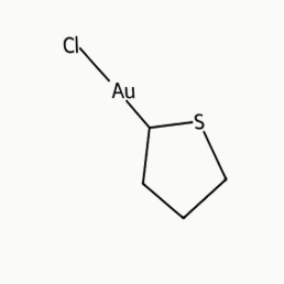 [Cl][Au][CH]1CCCS1